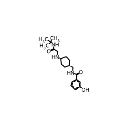 CC(C)(C)NC(=O)CN[C@H]1CC[C@@H](CNC(=O)c2cccc(O)c2)CC1